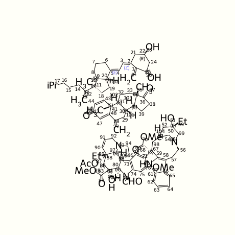 C=C1/C(=C\C=C2/CCC[C@]3(C)[C@@H]([C@H](C)CCCC(C)C)CC[C@@H]23)C[C@@H](O)C[C@@H]1O.C=C1C[C@@H]2[C@H](CC[C@]3(C)C(=O)CC[C@@H]23)[C@@]2(C)C=CC(=O)C=C12.CC[C@]1(O)C[C@H]2C[N@](CCc3c([nH]c4ccccc34)[C@@](C(=O)OC)(c3cc4c(cc3OC)N(C=O)[C@H]3[C@@](O)(C(=O)OC)[C@H](OC(C)=O)[C@]5(CC)C=CCN6CC[C@]43[C@@H]65)C2)C1